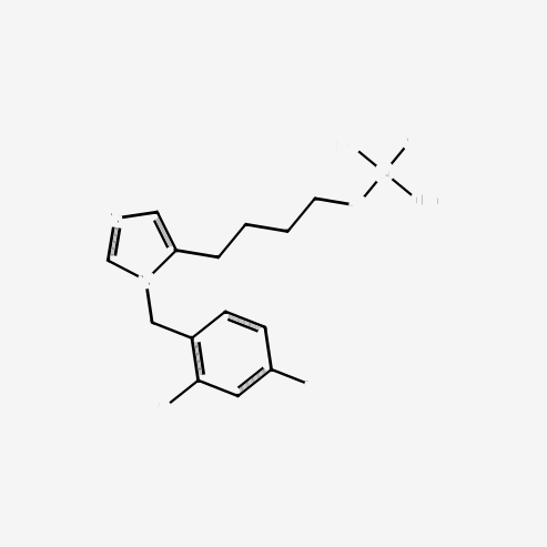 CC(C)(C)[Si](C)(C)OCCCCc1cncn1Cc1ccc(F)cc1Br